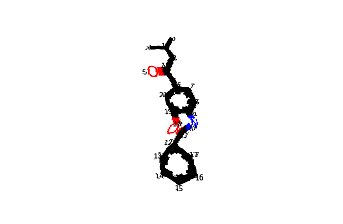 CC(C)CC(=O)c1ccc2nc(-c3ccccc3)oc2c1